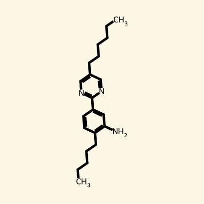 CCCCCCc1cnc(-c2ccc(CCCCC)c(N)c2)nc1